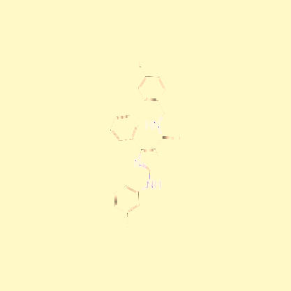 O=C(NCc1ccc(Cl)cc1)c1sc(Nc2cccc(F)c2)nc1-c1ccccc1